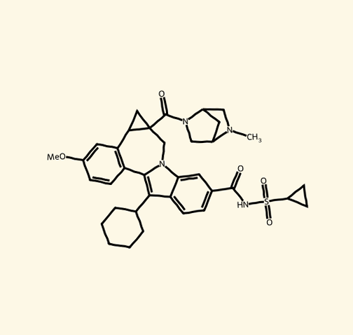 COc1ccc2c(c1)C1CC1(C(=O)N1CC3CC1CN3C)Cn1c-2c(C2CCCCC2)c2ccc(C(=O)NS(=O)(=O)C3CC3)cc21